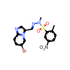 Cc1ccc([N+](=O)[O-])cc1S(=O)(=O)N(C)N=Cc1cnc2ccc(Br)cn12